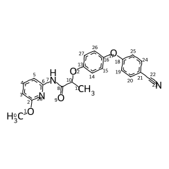 COc1cccc(NC(=O)C(C)Oc2ccc(Oc3ccc(C#N)cc3)cc2)n1